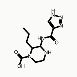 CCCC1C(NC(=O)c2c[nH]nn2)NCCN1C(=O)O